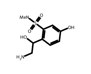 CNS(=O)(=O)c1cc(O)ccc1C(O)CN